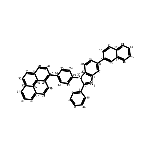 c1ccc(-c2nc3cc(-c4ccc5ccccc5c4)ccc3n2-c2ccc(-c3ccc4ccc5cccc6ccc3c4c56)cc2)cc1